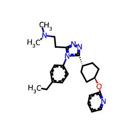 CCc1ccc(-n2c(CCN(C)C)nnc2[C@H]2CC[C@H](Oc3ccccn3)CC2)cc1